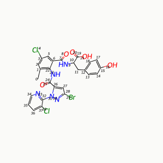 Cc1cc(Cl)cc(C(=O)NC(Cc2ccc(O)cc2)C(=O)O)c1NC(=O)c1cc(Br)nn1-c1ncccc1Cl